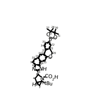 CC(C)(C)C12C[C@H]1C[C@@H](c1nc3ccc4cc5c(cc4c3[nH]1)OCc1cc(B3OC(C)(C)C(C)(C)O3)ccc1-5)N2C(=O)O